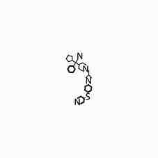 N#CC(c1ccccc1)(C1CCCC1)C1CCN(CC2CN(c3ccc(Sc4ccncc4)cc3)C2)CC1